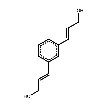 OC/C=C/c1cccc(/C=C/CO)c1